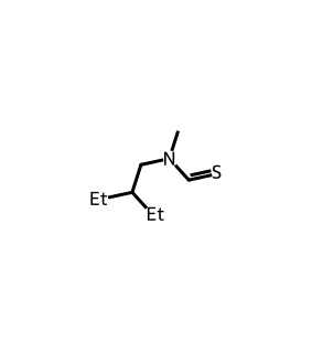 CCC(CC)CN(C)C=S